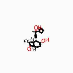 CCC1C(=O)[C@H]2CC[C@@H](O)[C@H](C#C[C@@](C)(O)C3CCC3)[C@@H]12